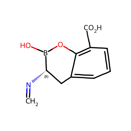 C=N[C@H]1Cc2cccc(C(=O)O)c2OB1O